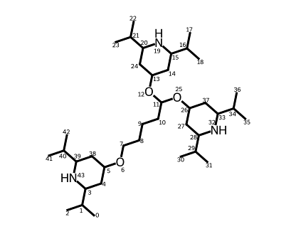 CC(C)C1CC(OCCCCC(OC2CC(C(C)C)NC(C(C)C)C2)OC2CC(C(C)C)NC(C(C)C)C2)CC(C(C)C)N1